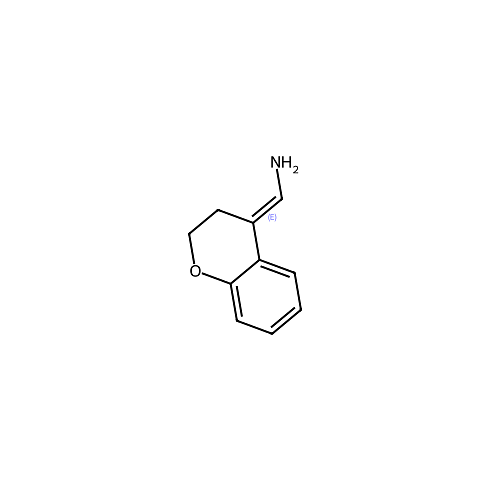 N/C=C1\CCOc2ccccc21